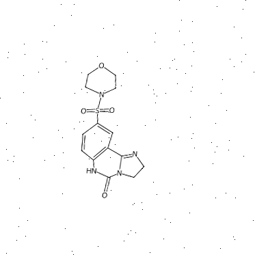 O=C1Nc2ccc(S(=O)(=O)N3CCOCC3)cc2C2=NCCN12